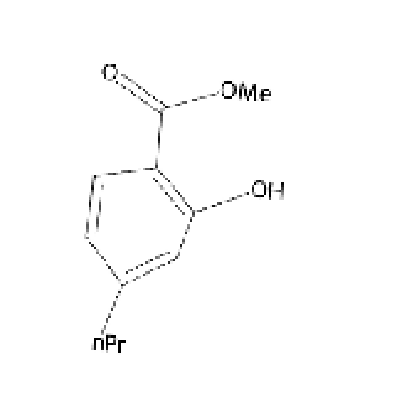 CCCc1ccc(C(=O)OC)c(O)c1